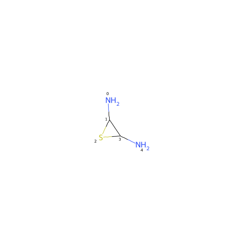 NC1SC1N